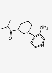 CN(C)C(=O)C1CCCN(c2ccncc2N)C1